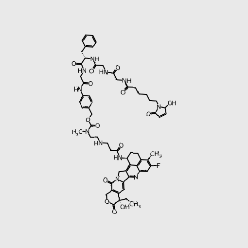 CC[C@@]1(O)C(=O)OCc2c1cc1n(c2=O)Cc2c-1nc1cc(F)c(C)c3c1c2[C@@H](NC(=O)CCNCCN(C)C(=O)OCc1ccc(NC(=O)CNC(=O)[C@H](Cc2ccccc2)NC(=O)CNC(=O)CNC(=O)CCCCCN2C(=O)C=CC2O)cc1)CC3